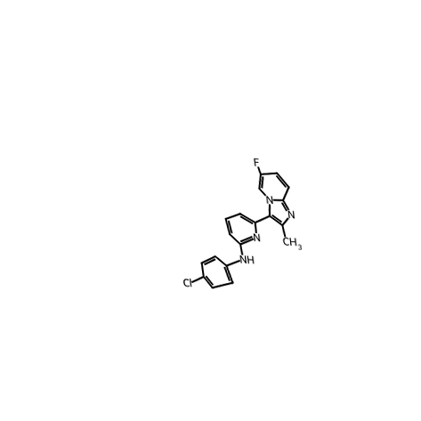 Cc1nc2ccc(F)cn2c1-c1cccc(Nc2ccc(Cl)cc2)n1